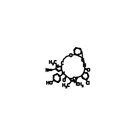 Cc1c2cc(n1C)-c1cc(Cl)ccc1C(=O)N1CCc3c(cccc3OCCCc3c(cc(C#N)n3C)N(c3ccc(O)cc3)C2=O)C1